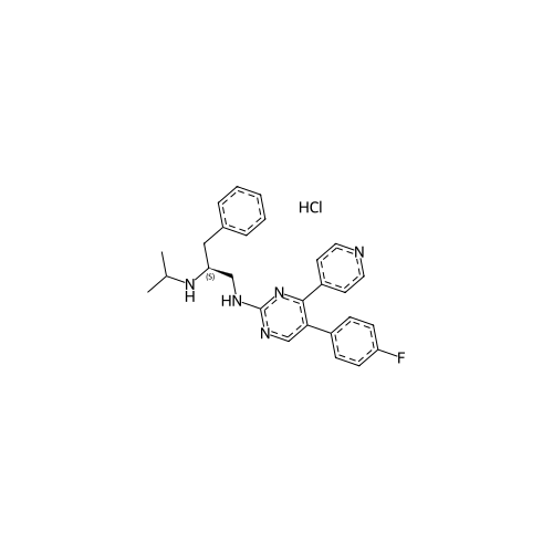 CC(C)N[C@H](CNc1ncc(-c2ccc(F)cc2)c(-c2ccncc2)n1)Cc1ccccc1.Cl